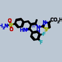 C/C(Nc1nc(C(=O)O)cs1)=C(\Cc1ccc(S(N)(=O)=O)cc1)C(=N)c1ccc(F)c(F)c1